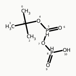 CC(C)(C)O[PH](=O)O[PH](=O)O